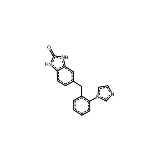 O=c1[nH]c2ccc(Cc3ccccc3-n3ccnc3)cc2[nH]1